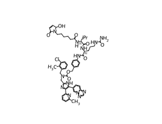 Cc1cccc(-c2nc(CN(Cc3cccc(Cl)c3C)C(=O)OCc3ccc(NC(=O)[C@H](CCCNC(N)=O)NC(=O)[C@@H](NC(=O)CCCCCN4C(=O)C=CC4O)C(C)C)cc3)[nH]c2-c2ccc3ncnn3c2)n1